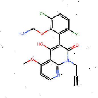 C#CCn1c(=O)c(-c2c(Cl)ccc(Cl)c2OCN)c(O)c2c(OC)ccnc21